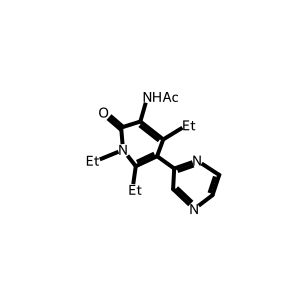 CCc1c(-c2cnccn2)c(CC)n(CC)c(=O)c1NC(C)=O